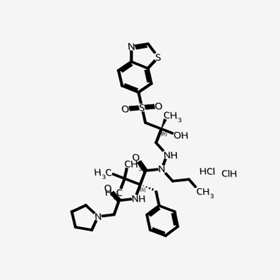 CCCN(NC[C@@](C)(O)CS(=O)(=O)c1ccc2ncsc2c1)C(=O)[C@@](Cc1ccccc1)(NC(=O)CN1CCCC1)C(C)(C)C.Cl.Cl